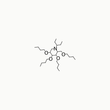 CCCCOCC1C(OCCCC)C(OCCCC)C(OCCCC)CN1C(CC)CC